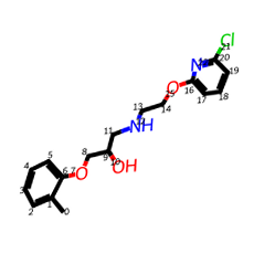 Cc1ccccc1OCC(O)CNCCOc1cccc(Cl)n1